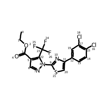 CCOC(=O)c1cnn(-c2nc(-c3ccc(Cl)c(Cl)c3)cs2)c1C(F)(F)F